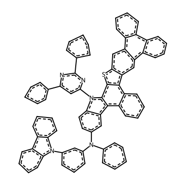 c1ccc(-c2cc(-n3c4ccc(N(c5ccccc5)c5cccc(-n6c7ccccc7c7ccccc76)c5)cc4c4c5ccccc5c5c6cc7c8ccccc8c8ccccc8c7cc6sc5c43)nc(-c3ccccc3)n2)cc1